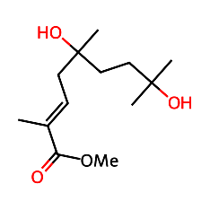 COC(=O)C(C)=CCC(C)(O)CCC(C)(C)O